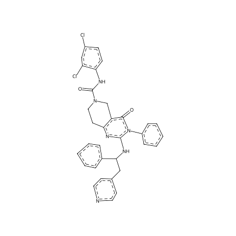 O=C(Nc1ccc(Cl)cc1Cl)N1CCc2nc(NC(Cc3ccncc3)c3ccccc3)n(-c3ccccc3)c(=O)c2C1